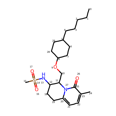 CCCCCC1CCC(OCC2C(NS(C)(=O)=O)CCc3ccc(C)c(=O)n32)CC1